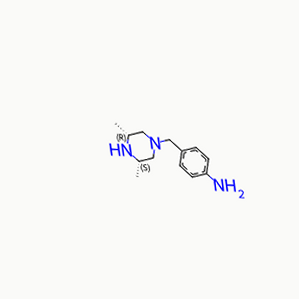 C[C@@H]1CN(Cc2ccc(N)cc2)C[C@H](C)N1